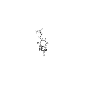 CNCCC1CCc2sc(C)nc2C1